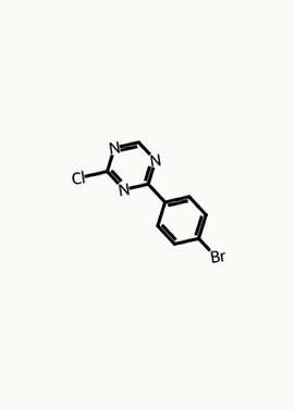 Clc1ncnc(-c2ccc(Br)cc2)n1